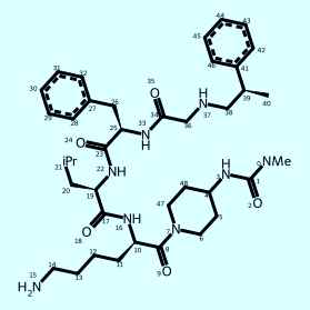 CNC(=O)NC1CCN(C(=O)[C@@H](CCCCN)NC(=O)[C@@H](CC(C)C)NC(=O)[C@@H](Cc2ccccc2)NC(=O)CNC[C@H](C)c2ccccc2)CC1